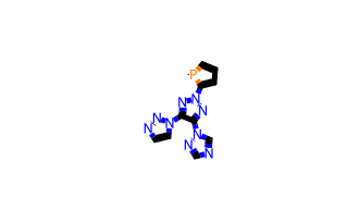 C1=C[P]C(n2nc(-n3cncn3)c(-n3ccnn3)n2)=C1